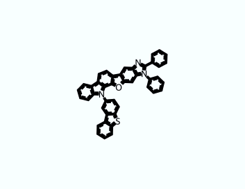 c1ccc(-c2nc3cc4c(cc3n2-c2ccccc2)oc2c4ccc3c4ccccc4n(-c4ccc5sc6ccccc6c5c4)c32)cc1